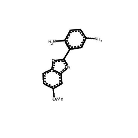 COc1ccc2oc(-c3cc(N)ccc3N)nc2c1